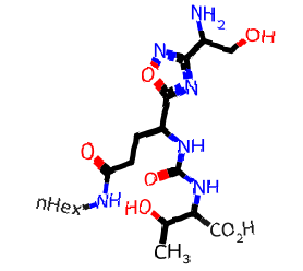 CCCCCCNC(=O)CCC(NC(=O)NC(C(=O)O)C(C)O)c1nc(C(N)CO)no1